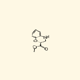 COC(=O)[C@@H]1CNc2ccccc2O1